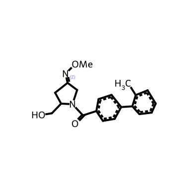 CO/N=C1/CC(CO)N(C(=O)c2ccc(-c3ccccc3C)cc2)C1